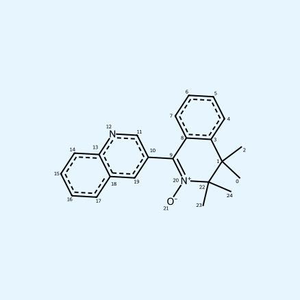 CC1(C)c2ccccc2C(c2cnc3ccccc3c2)=[N+]([O-])C1(C)C